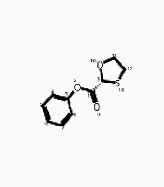 O=C(Oc1ccccc1)[C@@H]1OCCS1